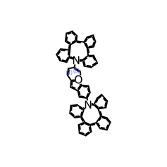 C/C=C(\C=C/c1cc2cc(-n3c4ccccc4c4ccccc4c4ccccc4c4ccccc43)ccc2o1)n1c2ccccc2c2ccccc2c2ccccc2c2ccccc21